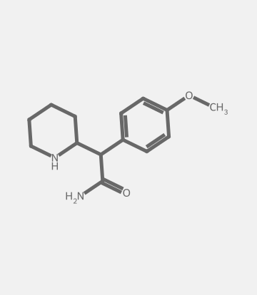 COc1ccc(C(C(N)=O)C2CCCCN2)cc1